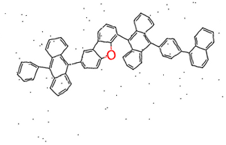 c1ccc(-c2c3ccccc3c(-c3ccc4oc5c(-c6c7ccccc7c(-c7ccc(-c8cccc9ccccc89)cc7)c7ccccc67)cccc5c4c3)c3ccccc23)cc1